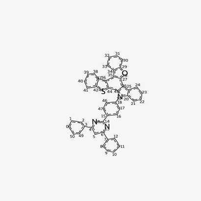 c1ccc(-c2cc(-c3ccccc3)nc(-c3ccc(-n4c5ccccc5c5c6oc7ccccc7c6c6c7ccccc7sc6c54)cc3)n2)cc1